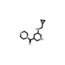 O=C(C1CNCC(NCC2CC2)C1)N1CCOCC1